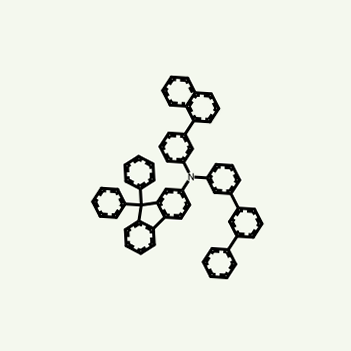 c1ccc(-c2cccc(-c3cccc(N(c4cccc(-c5cccc6ccccc56)c4)c4ccc5c(c4)C(c4ccccc4)(c4ccccc4)c4ccccc4-5)c3)c2)cc1